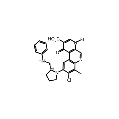 CCn1cc(C(=O)O)c(=O)c2c3cc(N4CCC[C@H]4CNc4ccccc4)c(Cl)c(F)c3ncc21